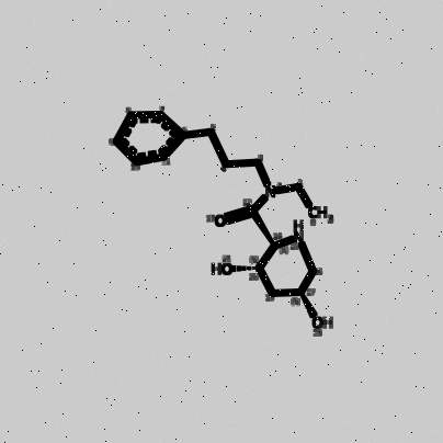 CCN(CCCc1ccccc1)C(=O)[C@H]1NC[C@@H](O)C[C@@H]1O